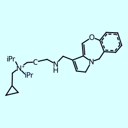 CC(C)[N+](CCCNCC1=CCN2Cc3ccccc3OC=C12)(CC1CC1)C(C)C